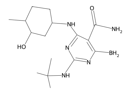 Bc1nc(NC(C)(C)C)nc(NC2CCC(C)C(O)C2)c1C(N)=O